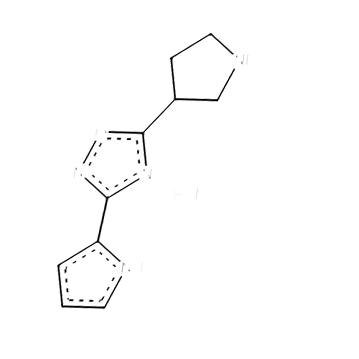 Cl.c1c[nH]c(-c2noc(C3CCNC3)n2)c1